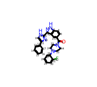 O=C(c1ccc2[nH]nc(-c3nc(-c4ccccc4)c[nH]3)c2c1)N1CCN(c2ccccc2F)CC1